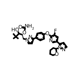 CC(C)(C)C(O)[C@H](Cn1ccc(-c2ccc(Oc3ncc(-c4ccnn4C4CCCCO4)cc3F)cc2)n1)OC(N)=O